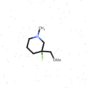 COC[C@]1(F)CCCN(C)C1